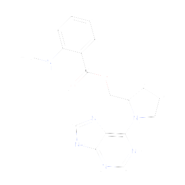 CNc1ccccc1C(=O)OCC1CCCN1c1ncnc2[nH]cnc12